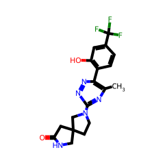 Cc1nc(N2CCC3(CNC(=O)C3)C2)nnc1-c1ccc(C(F)(F)F)cc1O